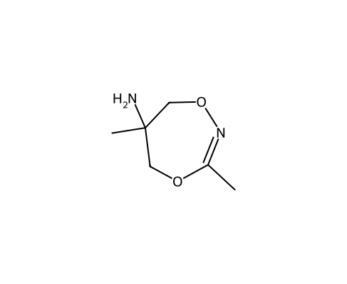 CC1=NOCC(C)(N)CO1